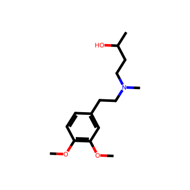 COc1ccc(CCN(C)CCC(C)O)cc1OC